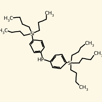 CCCC[Si](CCCC)(CCCC)c1ccc(Pc2ccc([Si](CCCC)(CCCC)CCCC)cc2)cc1